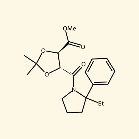 CCC1(c2ccccc2)CCCN1C(=O)[C@@H]1OC(C)(C)O[C@H]1C(=O)OC